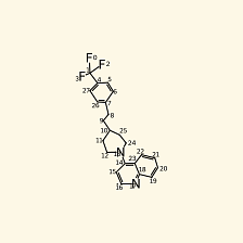 FC(F)(F)c1ccc(CCC2CCN(c3c[c]nc4ccccc34)CC2)cc1